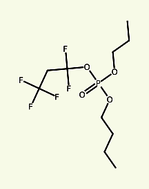 CCCCOP(=O)(OCCC)OC(F)(F)CC(F)(F)F